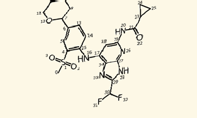 CS(=O)(=O)c1cc(C2CCCCO2)ccc1Nc1cc(NC(=O)C2CC2)nc2[nH]c(C(F)F)nc12